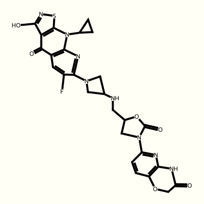 O=C1COc2ccc(N3CC(CNC4CN(c5nc6c(cc5F)c(=O)c5c(O)nsc5n6C5CC5)C4)OC3=O)nc2N1